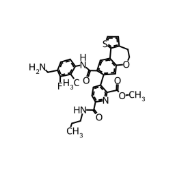 CCCNC(=O)c1ccc(-c2cc3c(cc2C(=O)Nc2ccc(CN)c(F)c2C)-c2sccc2CCO3)c(C(=O)OC)n1